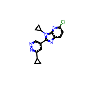 Clc1ccc2nc(-c3cnnc(C4CC4)c3)n(C3CC3)c2n1